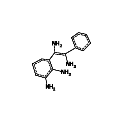 NC(=C(N)c1cccc(N)c1N)c1ccccc1